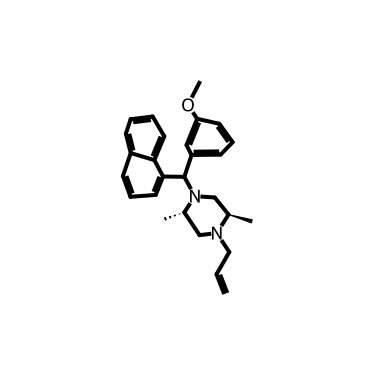 C=CCN1C[C@H](C)N(C(c2cccc(OC)c2)c2cccc3ccccc23)C[C@H]1C